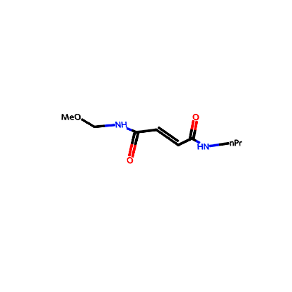 CCCNC(=O)C=CC(=O)NCOC